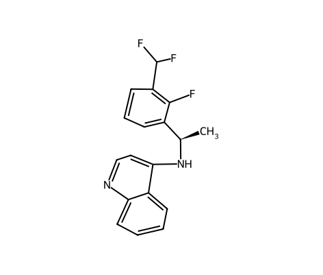 C[C@@H](Nc1ccnc2ccccc12)c1cccc(C(F)F)c1F